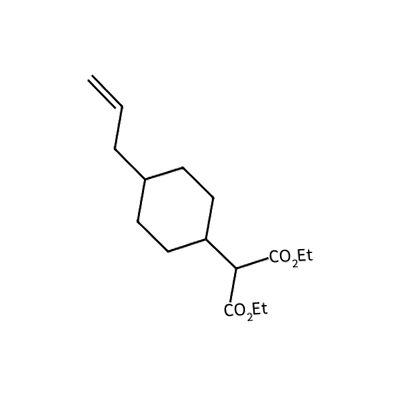 C=CCC1CCC(C(C(=O)OCC)C(=O)OCC)CC1